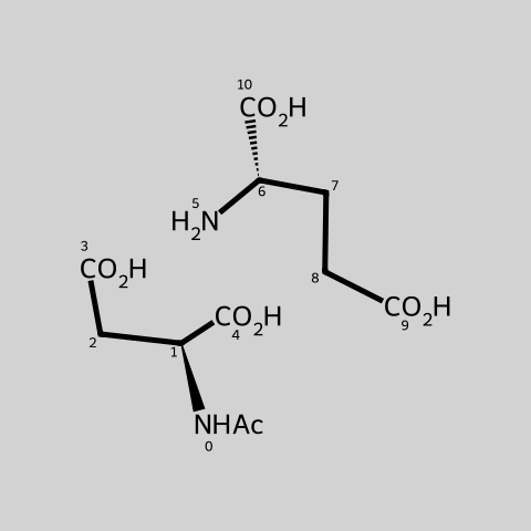 CC(=O)N[C@@H](CC(=O)O)C(=O)O.N[C@@H](CCC(=O)O)C(=O)O